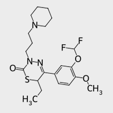 CCC1SC(=O)N(CCCN2CCCCC2)N=C1c1ccc(OC)c(OC(F)F)c1